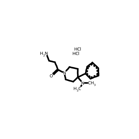 CN(C)C1(c2ccccc2)CCN(C(=O)CCN)CC1.Cl.Cl